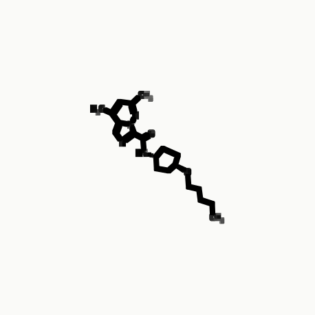 CCCCCO[C@H]1CC[C@H](NC(=O)c2ncc3c(C)cc(C)nn23)CC1